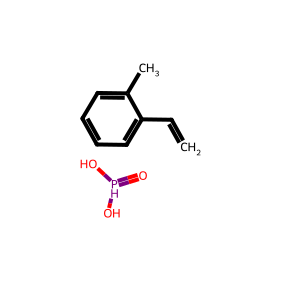 C=Cc1ccccc1C.O=[PH](O)O